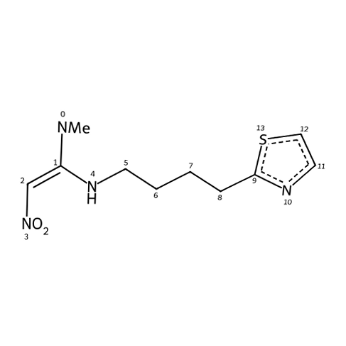 CN/C(=C/[N+](=O)[O-])NCCCCc1nccs1